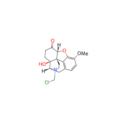 COc1ccc2c3c1O[C@H]1C(=O)CC[C@@]4(O)[C@@H](C2)N(CCl)CC[C@]314